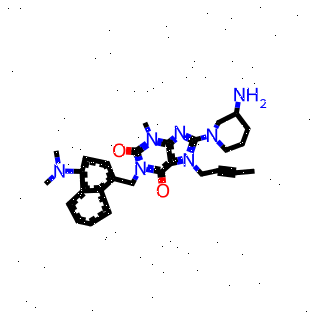 CC#CCn1c(N2CCCC(N)C2)nc2c1c(=O)n(Cc1ccc(N(C)C)c3ccccc13)c(=O)n2C